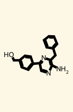 Nc1ncc(-c2ccc(CO)cc2)nc1Cc1ccccc1